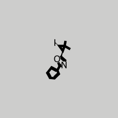 CC1(C)[C@@H](I)[C@@H]1c1cnc(-c2ccccc2)o1